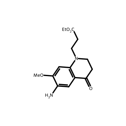 CCOC(=O)CCN1CCC(=O)c2cc(N)c(OC)cc21